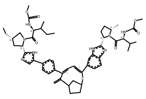 C=C1/C(c2ccc(-c3cnc([C@@H]4C[C@H](CC)CN4C(=O)[C@@H](NC(=O)OC)C(C)CC)[nH]3)cc2)=C\C=C(\c2ccc3nc([C@@H]4CC[C@H](C)N4C(=O)[C@@H](NC(=O)OC)C(C)C)[nH]c3c2)CC2CCC1C2